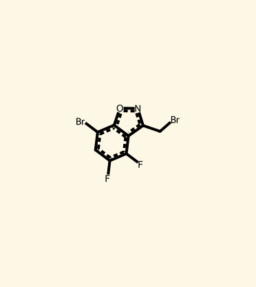 Fc1cc(Br)c2onc(CBr)c2c1F